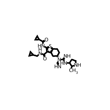 CC1NCCC1NC(=N)N(C=N)[C@H]1CCc2sc(NC(=O)C3CC3)c(C(=O)NCC3CC3)c2C1